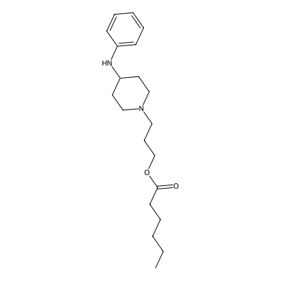 CCCCCC(=O)OCCCN1CCC(Nc2ccccc2)CC1